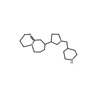 C1CN=C2CC(C3CCN(CC4CCNCC4)C3)CCCN2C1